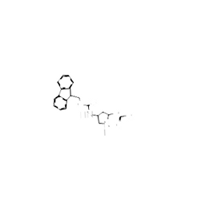 COC(=O)OC1CC(NC(=O)OCC2c3ccccc3-c3ccccc32)CN1